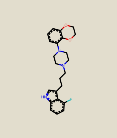 Fc1cccc2[nH]cc(CCCN3CCN(c4cccc5c4OCCO5)CC3)c12